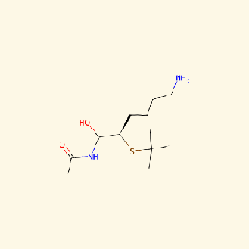 CC(=O)NC(O)[C@@H](CCCCN)SC(C)(C)C